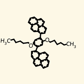 CCCCCCOc1cc(-c2ccc3ccc4cccc5ccc2c3c45)c(OCCCCCC)cc1-c1ccc2ccc3cccc4ccc1c2c34